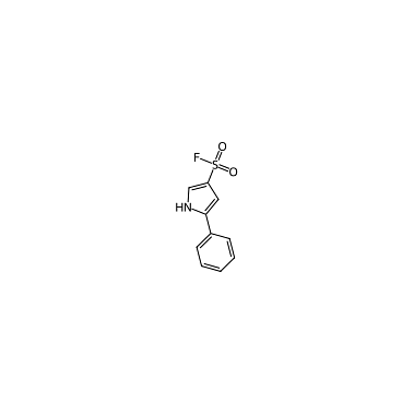 O=S(=O)(F)c1c[nH]c(-c2ccccc2)c1